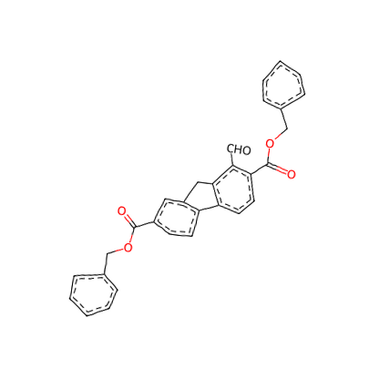 O=Cc1c(C(=O)OCc2ccccc2)ccc2c1Cc1cc(C(=O)OCc3ccccc3)ccc1-2